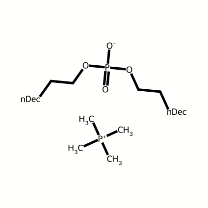 CCCCCCCCCCCCOP(=O)([O-])OCCCCCCCCCCCC.C[P+](C)(C)C